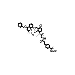 CNC(=O)c1ccc(C=CC(=O)NCC(=O)N(C)c2ccc(Cl)c(COc3cccc4c(OCc5ccccn5)cc(C)nc34)c2Cl)cc1